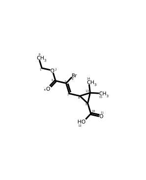 CCOC(=O)C(Br)=CC1C(C(=O)O)C1(C)C